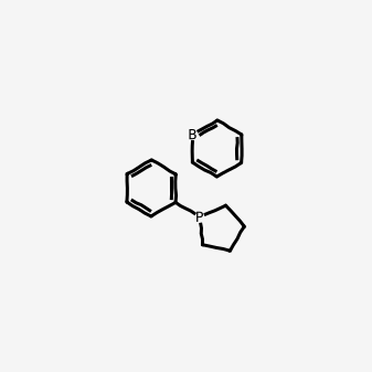 b1ccccc1.c1ccc(P2CCCC2)cc1